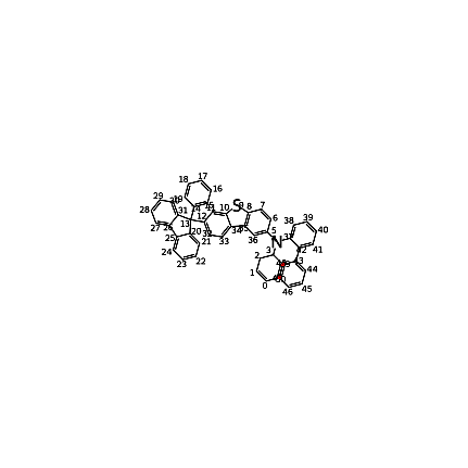 C1=CCC(N(c2ccc3sc4cc(C5(c6ccccc6)c6ccccc6-c6ccccc65)ccc4c3c2)c2ccccc2-c2ccccc2)C=C1